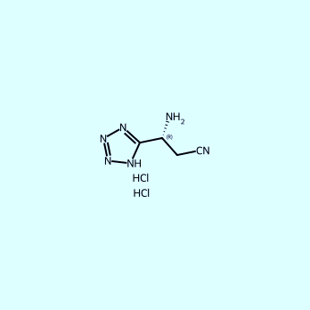 Cl.Cl.N#CC[C@@H](N)c1nnn[nH]1